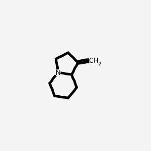 C=C1CCN2CCCCC12